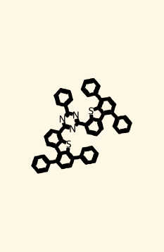 c1ccc(-c2nc(-c3cccc4c3sc3c(-c5ccccc5)ccc(-c5ccccc5)c34)nc(-c3cccc4c3sc3c(-c5ccccc5)ccc(-c5ccccc5)c34)n2)cc1